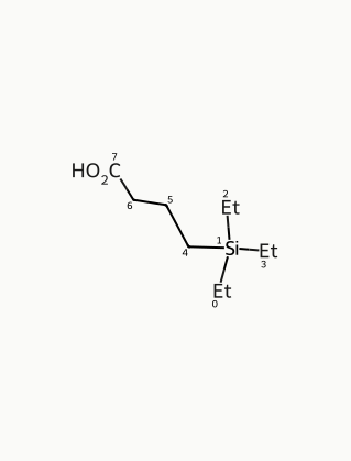 CC[Si](CC)(CC)CCCC(=O)O